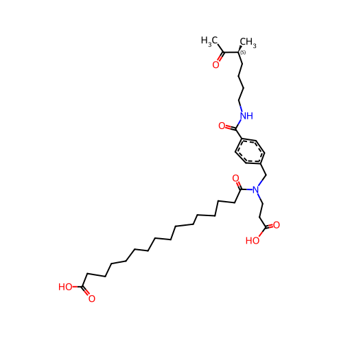 CC(=O)[C@@H](C)CCCCNC(=O)c1ccc(CN(CCC(=O)O)C(=O)CCCCCCCCCCCCCCC(=O)O)cc1